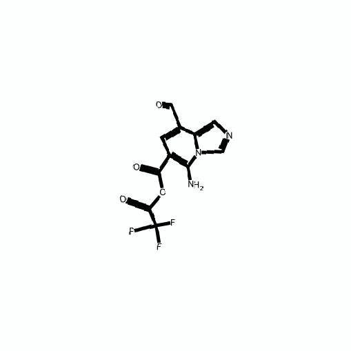 Nc1c(C(=O)OC(=O)C(F)(F)F)cc(C=O)c2cncn12